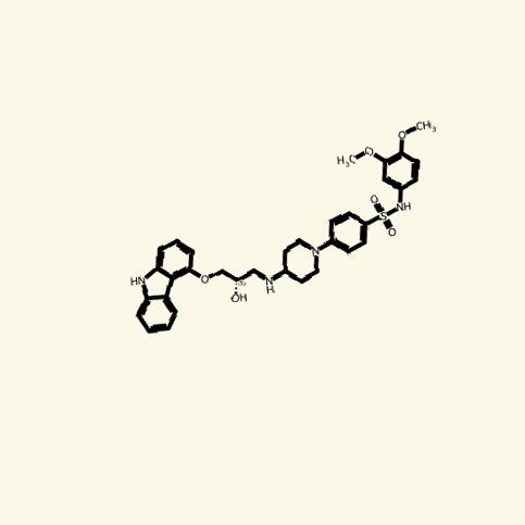 COc1ccc(NS(=O)(=O)c2ccc(N3CCC(NC[C@H](O)COc4cccc5[nH]c6ccccc6c45)CC3)cc2)cc1OC